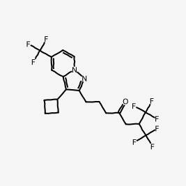 O=C(CCCc1nn2ccc(C(F)(F)F)cc2c1C1CCC1)CC(C(F)(F)F)C(F)(F)F